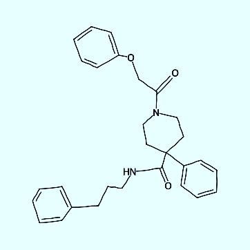 O=C(COc1ccccc1)N1CCC(C(=O)NCCCc2ccccc2)(c2ccccc2)CC1